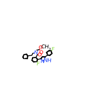 COC(=O)CN(CCc1ccccc1)C(=O)c1cccc(F)c1-c1cc(-c2ccc(F)cc2)[nH]n1